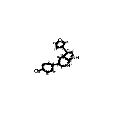 Clc1ccc(-c2cnc3[nH]cc(-c4ccoc4)c3c2)cc1